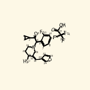 O=C(C1CC1)C(c1ccccc1F)N1CCC(S)C(=Cc2ccoc2)C1.O=C(O)C(F)(F)F